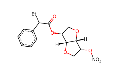 CCC(C(=O)O[C@H]1CO[C@H]2[C@@H]1OC[C@H]2O[N+](=O)[O-])c1ccccc1